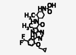 Cc1[nH]c2c(-c3cc(C(F)F)ccc3OCC3CC3)ncnc2c1C(=O)NC1CCC(NC(=O)O)CC1C